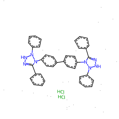 Cl.Cl.c1ccc(C2=NNN(c3ccccc3)N2c2ccc(-c3ccc(N4C(c5ccccc5)=NNN4c4ccccc4)cc3)cc2)cc1